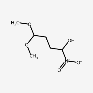 COC(CCC(O)[N+](=O)[O-])OC